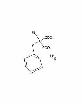 CCC(Cc1ccccc1)(C(=O)[O-])C(=O)[O-].[K+].[Li+]